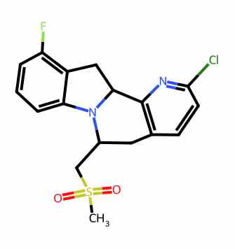 CS(=O)(=O)CC1Cc2ccc(Cl)nc2C2Cc3c(F)cccc3N12